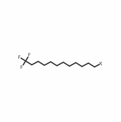 FC(F)(F)CCCCCCCCCC[CH2][K]